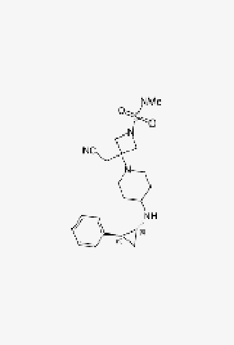 CNS(=O)(=O)N1CC(CC#N)(N2CCC(N[C@@H]3C[C@H]3c3ccccc3)CC2)C1